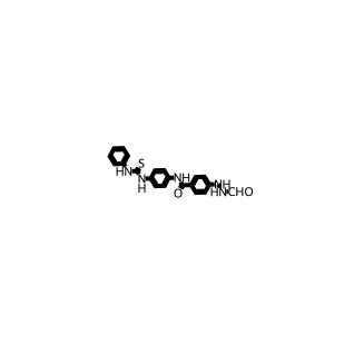 O=CNNc1ccc(C(=O)Nc2ccc(NC(=S)Nc3ccccc3)cc2)cc1